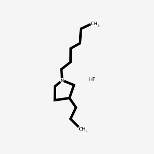 CCCCCCN1CCC(CCC)C1.F